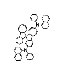 C1=CC=CC2=C(C=1)[C@]1(C3=C(C=CC(N(C4=C5CCC=CC5CC=C4)c4ccccc4)=C=C3)c3ccc(N(c4ccccc4)c4cccc5ccccc45)cc31)c1ccccc12